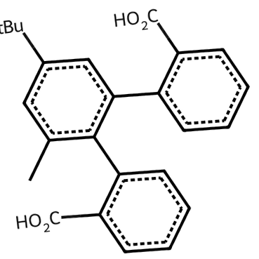 Cc1cc(C(C)(C)C)cc(-c2ccccc2C(=O)O)c1-c1ccccc1C(=O)O